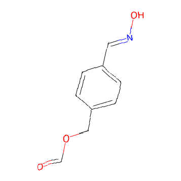 O=COCc1ccc(/C=N/O)cc1